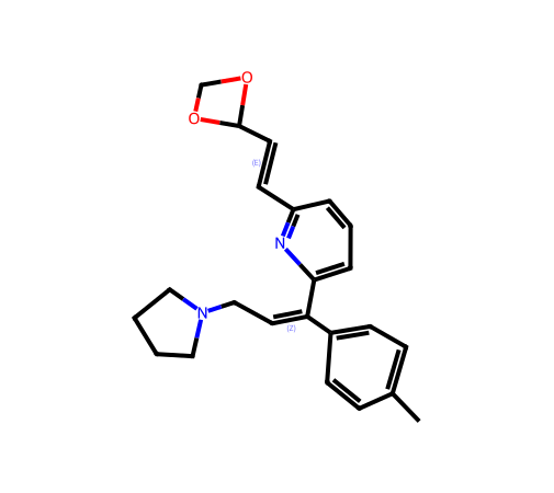 Cc1ccc(/C(=C/CN2CCCC2)c2cccc(/C=C/C3OCO3)n2)cc1